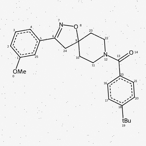 COc1cccc(C2=NOC3(CCN(C(=O)c4ccc(C(C)(C)C)cc4)CC3)C2)c1